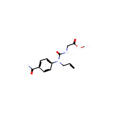 C=CCN(C(=O)NCC(=O)OC(C)(C)C)c1ccc(C(N)=O)cc1